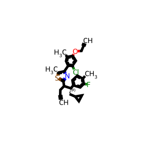 C#CCOc1cc(Cl)c(-c2nc(C(CC#C)[C@@H](CC3CC3)c3ccc(C)c(F)c3)sc2C)cc1C